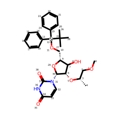 COC[C@H](C)O[C@H]1C(O)[C@@H](CO[Si](c2ccccc2)(c2ccccc2)C(C)(C)C)O[C@H]1n1ccc(=O)[nH]c1=O